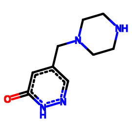 O=c1cc(CN2CCNCC2)cn[nH]1